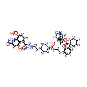 O=C(CCCc1cccc(C2(C(=O)O[C@H]3CN4CCC3CC4)CCCCC2)c1)N1CCC(CCNCC(O)c2ccc(O)c3[nH]c(=O)ccc23)CC1